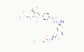 C=C/N=C1/NC(c2ccc(NC(=O)NC(=C)/C=C(\C=C/C)N3CC(NC(=O)C=C)C3)cc2)=CC1=C(C)C